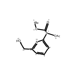 CC(=O)ON(C(=O)OC(C)(C)C)c1cccc(CO)n1